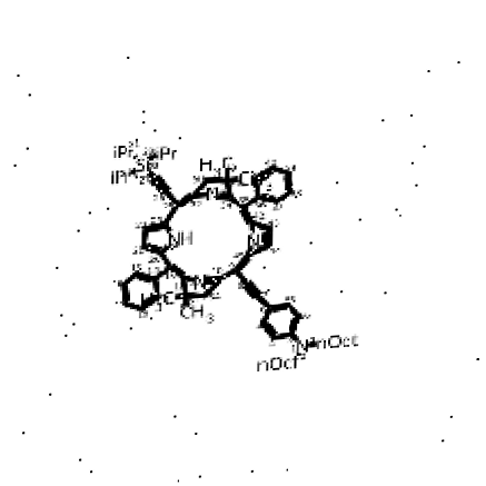 CCCCCCCCN(CCCCCCCC)c1ccc(C#Cc2c3nc(c(-c4ccccc4)c4ccc([nH]4)c(C#C[Si](C(C)C)(C(C)C)C(C)C)c4nc(c(-c5ccccc5)c5ccc2[nH]5)C(C)(C)C4)C(C)(C)C3)cc1